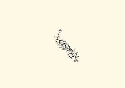 CC(C)CCC[C@@H](C)[C@H]1CC[C@H]2[C@@H]3CCC4CC(O)(S(=O)(=O)c5cccc6c(N(C)C)cccc56)CC[C@]4(C)[C@H]3CC[C@]12C